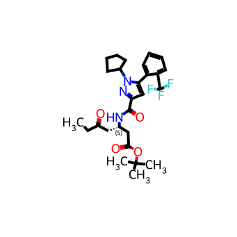 CCC(=O)C[C@@H](CC(=O)OC(C)(C)C)NC(=O)c1cc(-c2ccccc2C(F)(F)F)n(C2CCCC2)n1